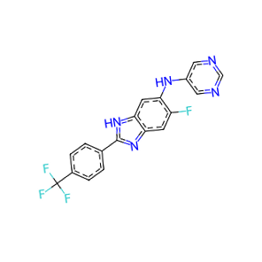 Fc1cc2nc(-c3ccc(C(F)(F)F)cc3)[nH]c2cc1Nc1cncnc1